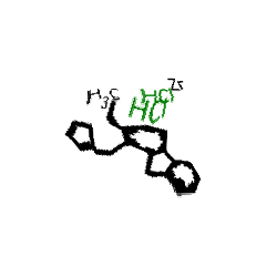 CCc1ccc2c(c1CC1=CC=CC1)Cc1ccccc1-2.Cl.Cl.[Zr]